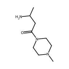 CC(N)CC(=O)N1CCN(C)CC1